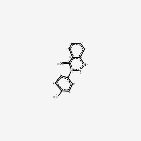 Cc1ccc(-n2nnc3ccccc3c2=O)cc1